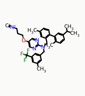 [C-]#[N+]CCCOc1cnc(N(Cc2cc(C)cc(C(F)(F)F)c2)Cc2cc(C)ccc2-c2cc(C(C)C)ccc2C)nc1